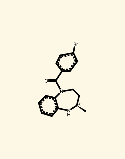 C[C@@H]1CCN(C(=O)c2ccc(Br)cc2)c2ccccc2N1